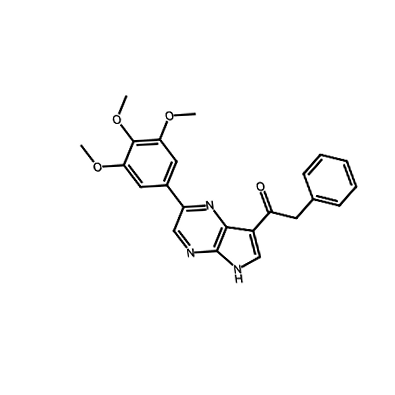 COc1cc(-c2cnc3[nH]cc(C(=O)Cc4ccccc4)c3n2)cc(OC)c1OC